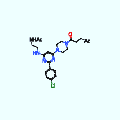 CC(=O)CCC(=O)N1CCN(c2cc(NCCNC(C)=O)nc(-c3ccc(Cl)cc3)n2)CC1